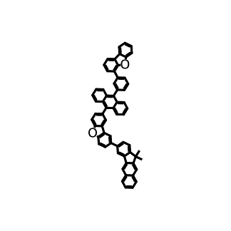 CC1(C)c2ccc(-c3ccc4oc5ccc(-c6c7ccccc7c(-c7cccc(-c8cccc9c8oc8ccccc89)c7)c7ccccc67)cc5c4c3)cc2-c2cc3ccccc3cc21